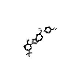 CC(C)(C)c1ccc(O)c(-n2nc3ccc([S+]([O-])c4ccc(Br)cc4)cc3n2)c1